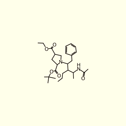 CCCC(C(C)NC(C)=O)C(Cc1ccccc1)N1CC(C(=O)OCC)CC1C(=O)OC(C)(C)C